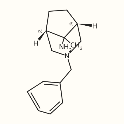 CC1(N)[C@@H]2CC[C@H]1CN(Cc1ccccc1)C2